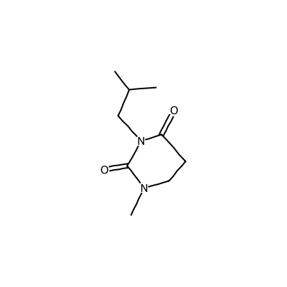 CC(C)CN1C(=O)CCN(C)C1=O